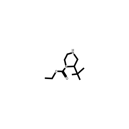 CCOC(=O)N1CCNCC1C(C)(C)C